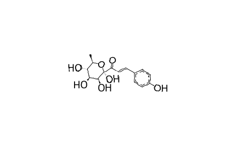 C[C@H]1O[C@@](O)(C(=O)C=Cc2ccc(O)cc2)[C@@H](O)[C@@H](O)[C@@H]1O